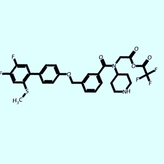 CSc1cc(F)c(F)cc1-c1ccc(OCc2cccc(C(=O)N(CC(=O)OC(=O)C(F)(F)F)C3CCNCC3)c2)cc1